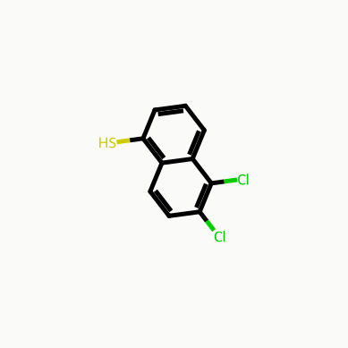 Sc1cccc2c(Cl)c(Cl)ccc12